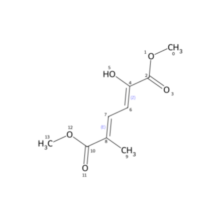 COC(=O)/C(O)=C/C=C(\C)C(=O)OC